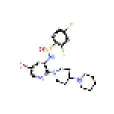 [O-][S+](Nc1cc(Br)cnc1N1CCC(N2CCCCC2)CC1)c1ccc(F)cc1F